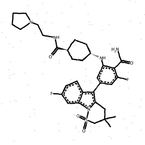 CC1(C)Cc2c(-c3cc(F)c(C(N)=O)c(N[C@H]4CC[C@H](C(=O)NCCN5CCCC5)CC4)c3)c3ccc(F)cc3n2S(=O)(=O)C1